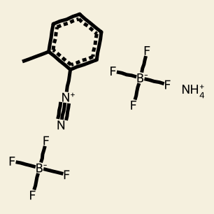 Cc1ccccc1[N+]#N.F[B-](F)(F)F.F[B-](F)(F)F.[NH4+]